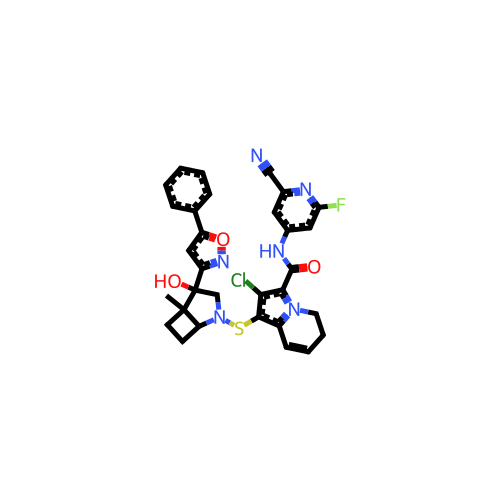 CC12CCC1N(Sc1c(Cl)c(C(=O)Nc3cc(F)nc(C#N)c3)n3c1C=CCC3)CC2(O)c1cc(-c2ccccc2)on1